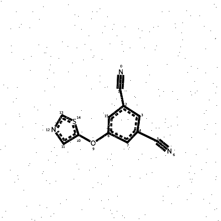 N#Cc1cc(C#N)cc(Oc2cn[c]s2)c1